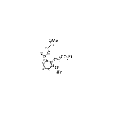 CCOC(=O)/C=C/c1c(OC(C)C)cccc1[C@@H](C)OCCOC